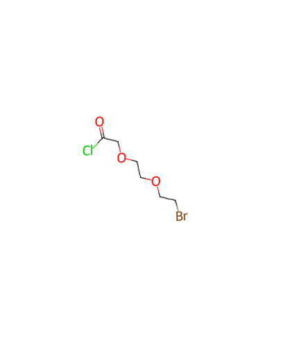 O=C(Cl)COCCOCCBr